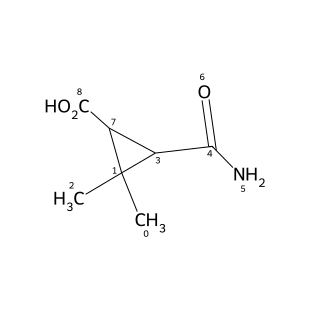 CC1(C)C(C(N)=O)C1C(=O)O